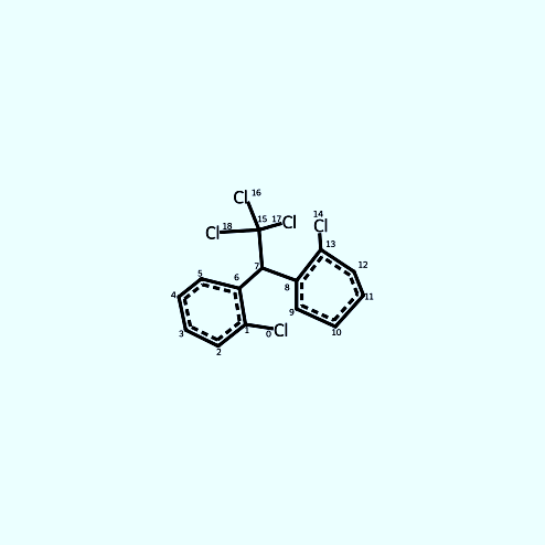 Clc1ccccc1C(c1ccccc1Cl)C(Cl)(Cl)Cl